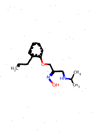 C=CCc1ccccc1OCC(CNC(C)C)=NO